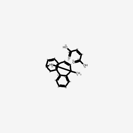 CC12C=CC3=C(CC(C=C3)N1)c1ccccc12.O=C(O)/C=C\C(=O)O